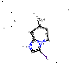 O=C(O)c1ccn2c(I)cnc2c1